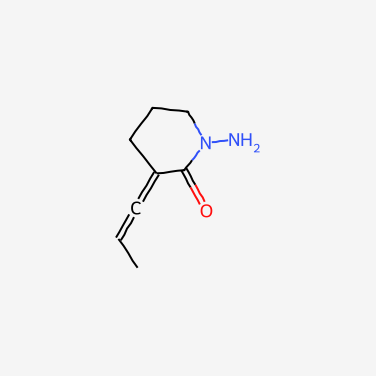 CC=C=C1CCCN(N)C1=O